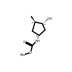 C[C@@H]1C[C@@H](NC(=O)OC(C)(C)C)C[C@H]1O